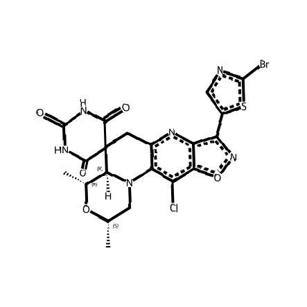 C[C@H]1CN2c3c(nc4c(-c5cnc(Br)s5)noc4c3Cl)CC3(C(=O)NC(=O)NC3=O)[C@@H]2[C@@H](C)O1